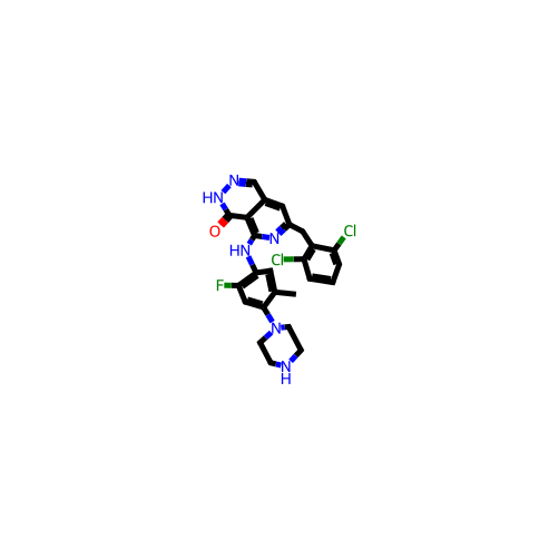 Cc1cc(Nc2nc(Cc3c(Cl)cccc3Cl)cc3cn[nH]c(=O)c23)c(F)cc1N1CCNCC1